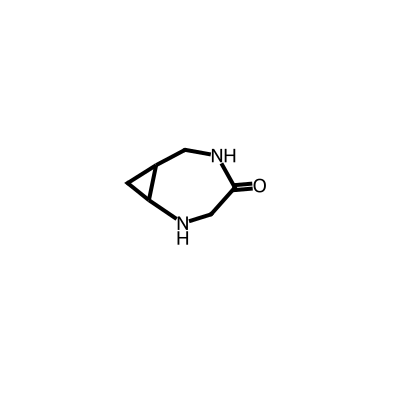 O=C1CNC2CC2CN1